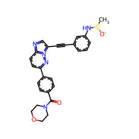 C[S+]([O-])Nc1cccc(C#Cc2cnc3ccc(-c4ccc(C(=O)N5CCOCC5)cc4)nn23)c1